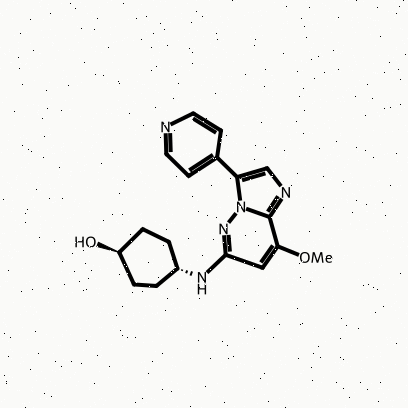 COc1cc(N[C@H]2CC[C@H](O)CC2)nn2c(-c3ccncc3)cnc12